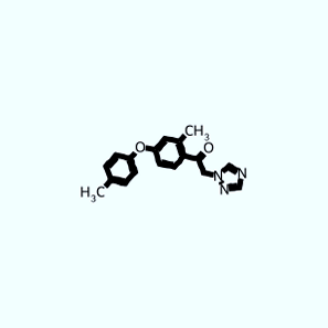 Cc1ccc(Oc2ccc(C(=O)Cn3cncn3)c(C)c2)cc1